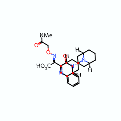 CNC(=O)CO/N=C(\C(=O)O)c1nc2ccccc2n([C@H]2C[C@H]3CCC[C@@H](C2)N3C2C[C@H]3CCC[C@@H](C2)C3)c1=O